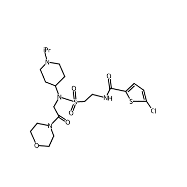 CC(C)N1CCC(N(CC(=O)N2CCOCC2)S(=O)(=O)CCNC(=O)c2ccc(Cl)s2)CC1